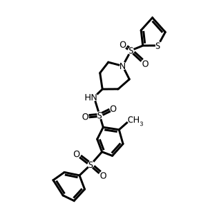 Cc1ccc(S(=O)(=O)c2ccccc2)cc1S(=O)(=O)NC1CCN(S(=O)(=O)c2cccs2)CC1